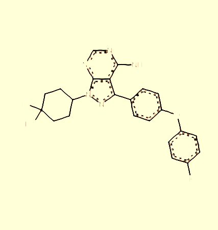 CC1(O)CCC(n2nc(-c3ccc(Oc4ccc(F)cc4)cc3)c3c(N)ncnc32)CC1